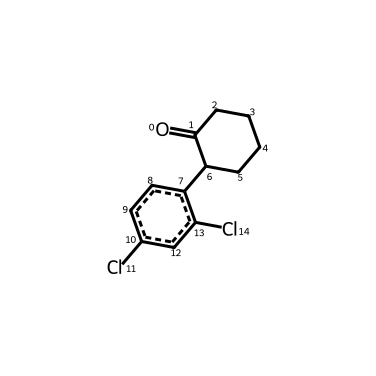 O=C1CCCCC1c1ccc(Cl)cc1Cl